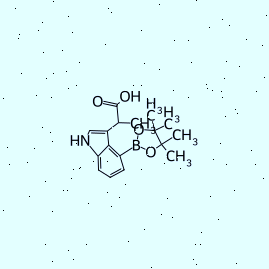 CC(C(=O)O)c1c[nH]c2cccc(B3OC(C)(C)C(C)(C)O3)c12